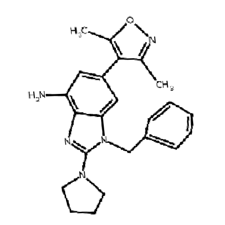 Cc1noc(C)c1-c1cc(N)c2nc(N3CCCC3)n(Cc3ccccc3)c2c1